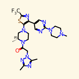 Cc1nc(C)n(CC(=O)N2CCN(c3sc(C(F)(F)F)nc3-c3cnc(N4CCN(C)CC4)nc3)C[C@H]2C)n1